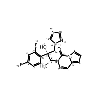 C[C@@H](n1ncc2cccn2c1=O)[C@](O)(Cn1cncn1)c1ccc(F)cc1F